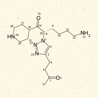 CC(=O)CCc1cn([C@@H](CCCCN)C(=O)C2CCNCC2)nn1